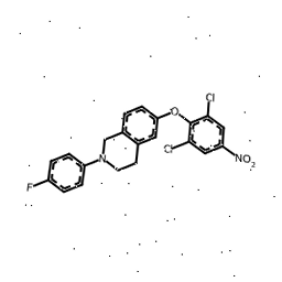 O=[N+]([O-])c1cc(Cl)c(Oc2ccc3c(c2)CCN(c2ccc(F)cc2)C3)c(Cl)c1